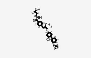 Cc1cc(OCC(C)Cc2ccc(C(=O)NCCC(=O)O)cc2)ccc1-c1ccc(OC(F)(F)F)cc1